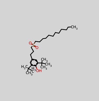 CCCCCCCCCCCCS(=O)(=O)CCCc1cc(C(C)(C)C)c(O)c(C(C)(C)C)c1